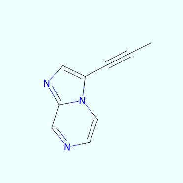 CC#Cc1cnc2cnccn12